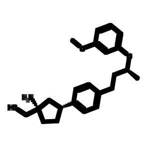 COc1cccc(O[C@@H](C)CCc2ccc([C@@H]3CC[C@@](N)(CO)C3)cc2)c1